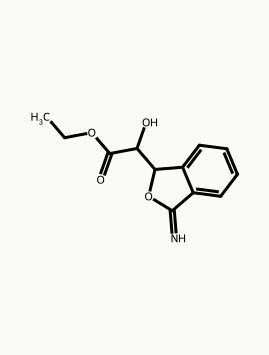 CCOC(=O)C(O)C1OC(=N)c2ccccc21